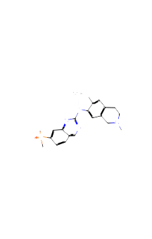 COc1cc2c(cc1Nc1ncc3ccc(P(C)(C)=O)cc3n1)CN(C)CC2